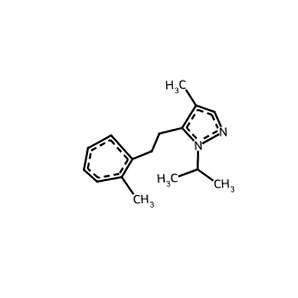 Cc1ccccc1CCc1c(C)cnn1C(C)C